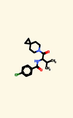 CC(C)C(NC(=O)c1ccc(Cl)cc1)C(=O)N1CCC2(CC1)CC2